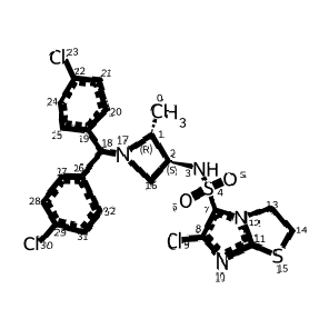 C[C@@H]1[C@@H](NS(=O)(=O)c2c(Cl)nc3n2CCS3)CN1C(c1ccc(Cl)cc1)c1ccc(Cl)cc1